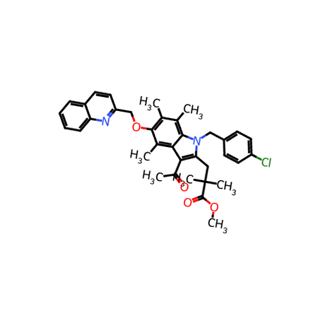 COC(=O)C(C)(C)Cc1c(C(C)=O)c2c(C)c(OCc3ccc4ccccc4n3)c(C)c(C)c2n1Cc1ccc(Cl)cc1